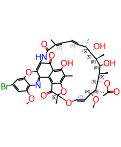 COc1cc(Br)cc2oc3c4c(=O)c5c(O)c(C)c6c(c5c-3nc12)C(=O)[C@@](C)(O/C=C/[C@H](OC)[C@@H](C)[C@@H](OC(C)=O)[C@H](C)[C@H](O)[C@H](C)[C@@H](O)[C@@H](C)/C=C/C=C(/C)C(=O)N4)O6